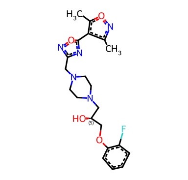 Cc1noc(C)c1-c1nc(CN2CCN(C[C@H](O)COc3ccccc3F)CC2)no1